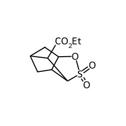 CCOC(=O)C1C2CC3OS(=O)(=O)C1C3C2